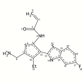 C=CC(=O)Nc1sc(CN)c(CC)c1-c1nc2cc(F)ccc2s1